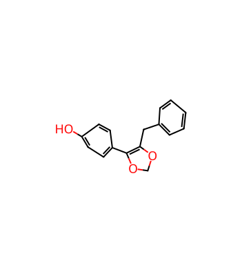 Oc1ccc(C2=C(Cc3ccccc3)OCO2)cc1